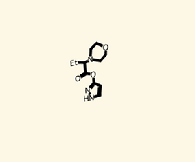 CCC(C(=O)Oc1cc[nH]n1)N1CCOCC1